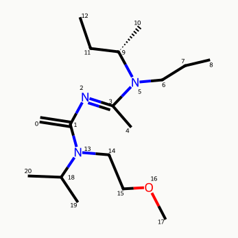 C=C(/N=C(\C)N(CCC)[C@@H](C)CC)N(CCOC)C(C)C